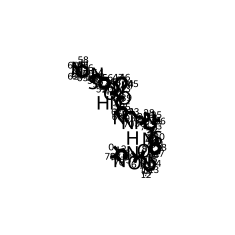 Cc1cc(NC(=O)C(=O)N2C[C@@H](C)CC[C@@H]2c2ccc3sc(C4CC(C)(C)N(C)C(C)(CCCc5cc(NC(=O)C(=O)N6C[C@@H](C)CC[C@@H]6c6ccc7sc([C@H]8C[C@@H](C)N(C)[C@@H](C)C8)nc7c6)cnc5N)C4)nc3c2)cnc1C